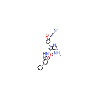 CN(C)C/C=C/C(=O)N1CCC(n2cc(C(=O)Nc3nc4cc(-c5ccccc5)ccc4o3)c3c(N)ncnc32)C1